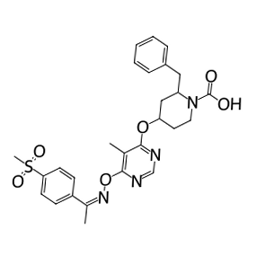 CC(=NOc1ncnc(OC2CCN(C(=O)O)C(Cc3ccccc3)C2)c1C)c1ccc(S(C)(=O)=O)cc1